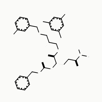 CCCN(CCC)C(=O)CC[C@H](NC(=O)OCc1ccccc1)C(=O)N[C@@H](Cc1cc(F)cc(F)c1)[C@H](O)CNCc1cccc(CC)c1